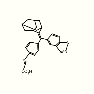 O=C(O)/C=C/c1ccc(C(=C2C3CC4CC(C3)CC2C4)c2ccc3[nH]ncc3c2)cc1